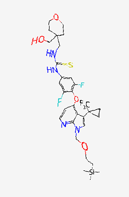 C[Si](C)(C)CCOCn1cc(C2(C(F)(F)F)CC2)c2c(Oc3c(F)cc(NC(=S)NCC4(CO)CCOCC4)cc3F)ccnc21